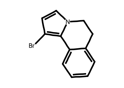 Brc1ccn2c1-c1ccccc1CC2